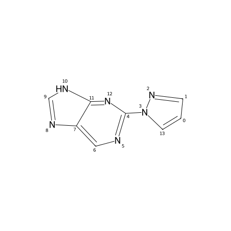 c1cnn(-c2ncc3nc[nH]c3n2)c1